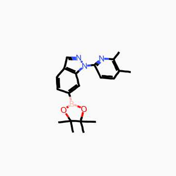 Cc1ccc(-n2ncc3ccc(B4OC(C)(C)C(C)(C)O4)cc32)nc1C